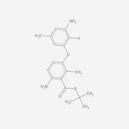 Cc1cc(N)c(F)c(Oc2ccc(N)c(C(=O)OC(C)(C)C)c2C)c1